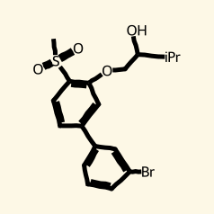 CC(C)C(O)COc1cc(-c2cccc(Br)c2)ccc1S(C)(=O)=O